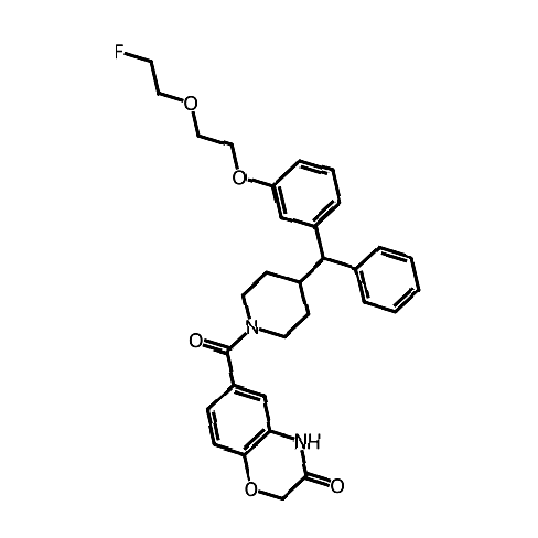 O=C1COc2ccc(C(=O)N3CCC(C(c4ccccc4)c4cccc(OCCOCCF)c4)CC3)cc2N1